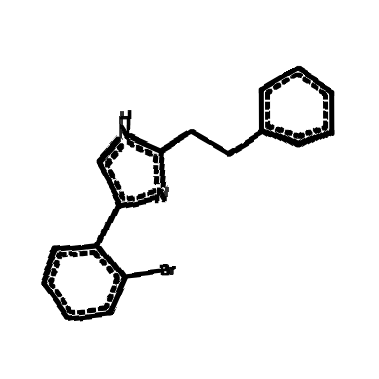 Brc1ccccc1-c1c[nH]c(CCc2ccccc2)n1